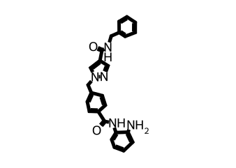 Nc1ccccc1NC(=O)c1ccc(Cn2cc(C(=O)NCc3ccccc3)cn2)cc1